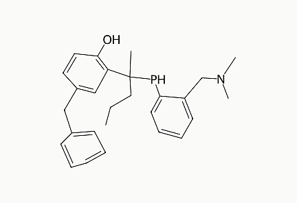 CCCC(C)(Pc1ccccc1CN(C)C)c1cc(Cc2ccccc2)ccc1O